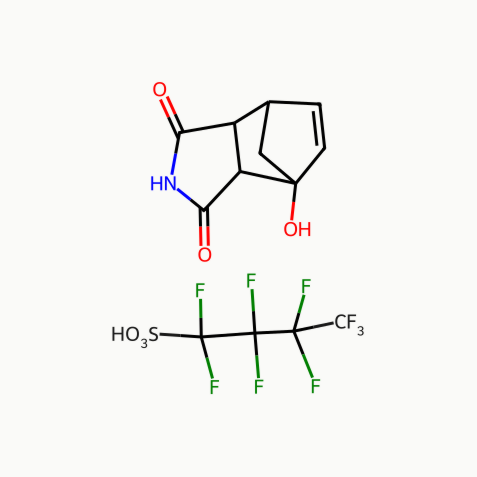 O=C1NC(=O)C2C1C1C=CC2(O)C1.O=S(=O)(O)C(F)(F)C(F)(F)C(F)(F)C(F)(F)F